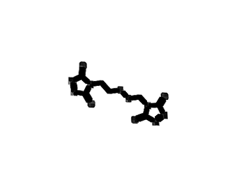 O=C1N=NC(=O)N1CCSSCN1C(=O)N=NC1=O